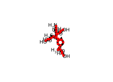 CN(CCC(=O)NCCO)CCC1CCCCC(CCN(CCN(C)CCC(=O)NCCO)CCN(CCC(=O)NCCN)CCC(=O)NCCO)C2CC2CCCC1